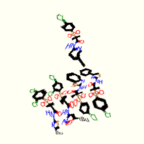 CC(C)(C(=O)Nc1nc(-c2ccccc2)cs1)S(=O)(=O)c1ccc(Cl)cc1.CC(C)(C(=O)Nc1nc2ccccc2s1)S(=O)(=O)c1ccc(Cl)cc1.CC(C)(C)c1cc(NC(=O)C(C)(C)S(=O)(=O)c2ccc(Cl)cc2Cl)no1.CC(C)(C)c1csc(NC(=O)C(C)(C)S(=O)(=O)c2ccc(Cl)cc2Cl)n1.Cc1ccc(NC(=O)C(C)(C)S(=O)(=O)c2ccc(Cl)cc2)nc1